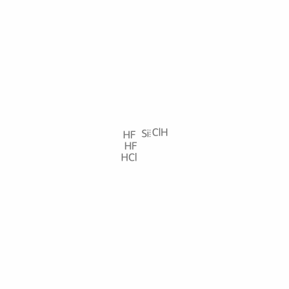 Cl.Cl.F.F.[Si]